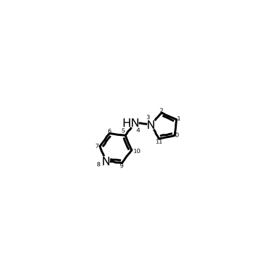 c1ccn(Nc2ccncc2)c1